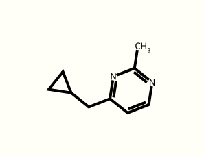 Cc1nccc(CC2CC2)n1